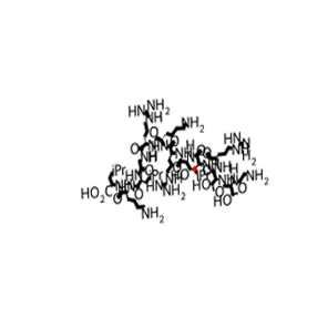 CC(C)C[C@H](NC(=O)[C@H](CCCCN)NC(=O)[C@H](CC(C)C)NC(=O)CNC(=O)[C@H](CCCNC(=N)N)NC(=O)[C@H](CCCCN)NC(=O)[C@H](CCCNC(=N)N)NC(=O)[C@@H](NC(=O)[C@H](CC(C)C)NC(=O)[C@H](CCCNC(=N)N)NC(=O)[C@@H](NC(=O)[C@@H](NC(=O)CN)[C@@H](C)O)[C@@H](C)O)[C@@H](C)O)C(=O)O